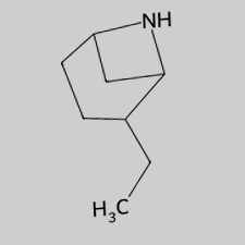 CCC1CCC2CC1N2